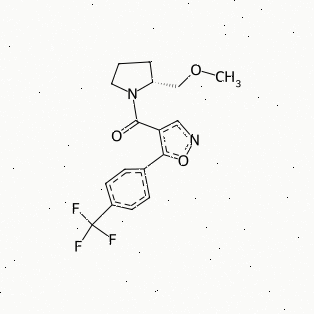 COC[C@H]1CCCN1C(=O)c1cnoc1-c1ccc(C(F)(F)F)cc1